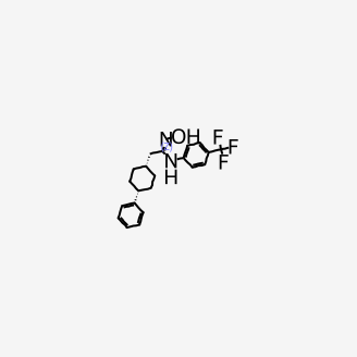 O/N=C(/C[C@H]1CC[C@@H](c2ccccc2)CC1)Nc1ccc(C(F)(F)F)cc1